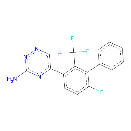 Nc1nncc(-c2ccc(F)c(-c3ccccc3)c2C(F)(F)F)n1